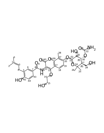 CC(C)=CCc1cc(C(=O)Nc2c(OCCO)c3ccc(O[C@@H]4OC(C)(C)[C@H](CO)[C@@H](OC(N)=O)[C@H]4O)c(C)c3oc2=O)ccc1O